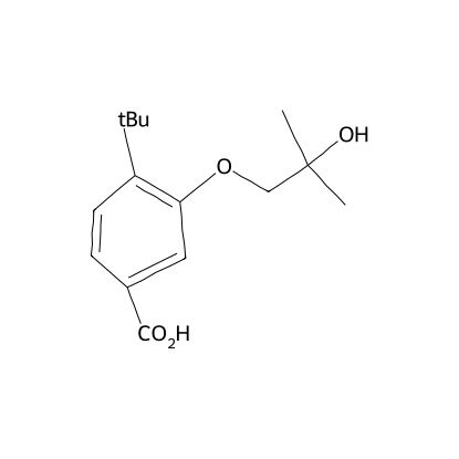 CC(C)(O)COc1cc(C(=O)O)ccc1C(C)(C)C